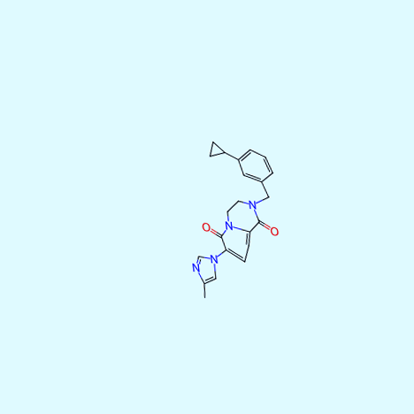 Cc1cn(-c2ccc3n(c2=O)CCN(Cc2cccc(C4CC4)c2)C3=O)cn1